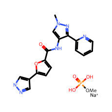 COP(=O)(O)O.Cn1cc(NC(=O)c2ccc(-c3cn[n-]c3)o2)c(-c2ccccn2)n1.[Na+]